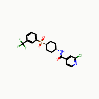 O=C(N[C@H]1CC[C@@H](S(=O)(=O)c2cccc(C(F)(F)F)c2)CC1)c1ccnc(Cl)c1